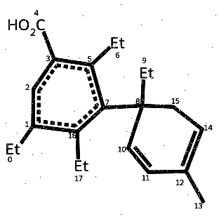 CCc1cc(C(=O)O)c(CC)c(C2(CC)C=CC(C)=CC2)c1CC